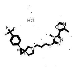 Cc1ncoc1-c1nnc(SCCCN2CC[C@]3(C[C@H]3c3ccc(C(F)(F)F)cc3)C2)n1C.Cl